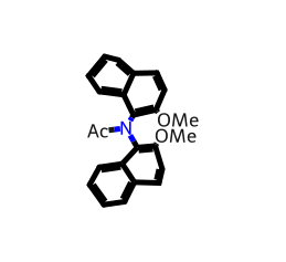 COc1ccc2ccccc2c1N(C(C)=O)c1c(OC)ccc2ccccc12